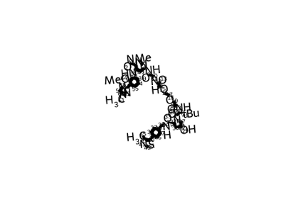 CNC(=O)c1nnc(NC(=O)CNC(=O)COCCOCC(=O)N[C@H](C(=O)N2C[C@H](O)C[C@H]2C(=O)NCc2ccc(-c3scnc3C)cc2)C(C)(C)C)cc1Nc1cccc(-c2ncn(C)n2)c1OC